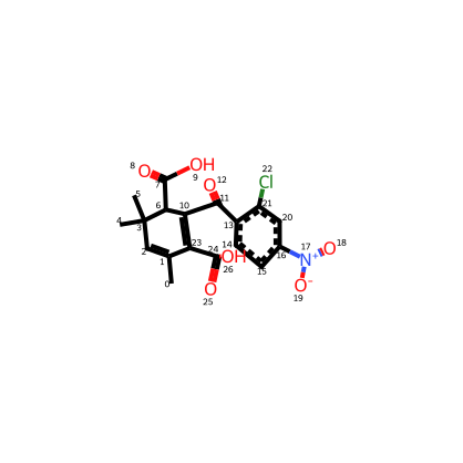 CC1=CC(C)(C)C(C(=O)O)C(C(=O)c2ccc([N+](=O)[O-])cc2Cl)=C1C(=O)O